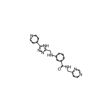 O=C(NCc1ccncn1)c1cccc(NCc2nnc(-c3ccncc3)[nH]2)c1